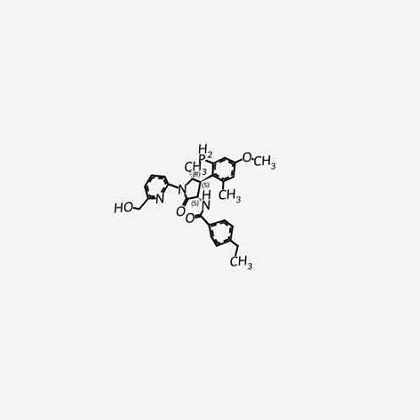 CCc1ccc(C(=O)N[C@@H]2C(=O)N(c3cccc(CO)n3)[C@H](C)[C@H]2c2c(C)cc(OC)cc2P)cc1